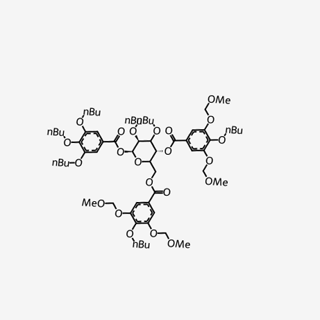 CCCCOc1cc(C(=O)O[C@@H]2OC(COC(=O)c3cc(OCOC)c(OCCCC)c(OCOC)c3)[C@@H](OC(=O)c3cc(OCOC)c(OCCCC)c(OCOC)c3)C(OCCCC)[C@@H]2OCCCC)cc(OCCCC)c1OCCCC